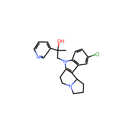 CC(O)(Cn1c2c(c3cc(Cl)ccc31)C1CCCN1CC2)c1cccnc1